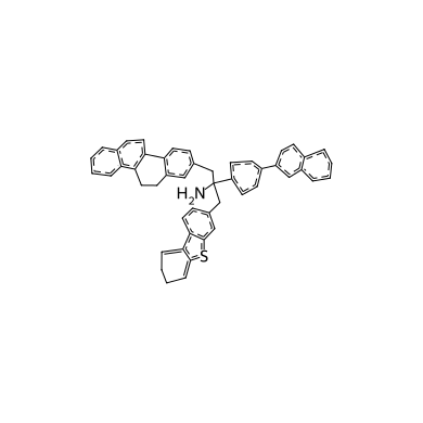 NC(Cc1ccc2c(c1)CCc1c-2ccc2ccccc12)(Cc1ccc2c3c(sc2c1)=CCCC=3)c1ccc(-c2ccc3ccccc3c2)cc1